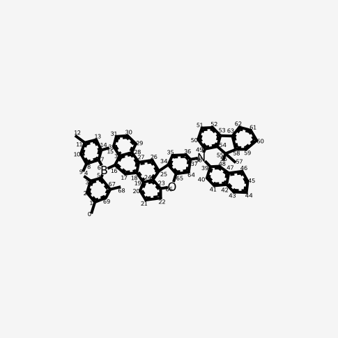 Cc1cc(C)c(B(c2c(C)cc(C)cc2C)c2cc3c4cccc5c4c(cc3c3ccccc23)-c2ccc(N(c3ccc4ccccc4c3)c3cccc4c3C(C)(C)c3ccccc3-4)cc2O5)c(C)c1